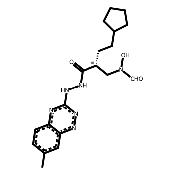 Cc1ccc2nc(NNC(=O)[C@H](CCC3CCCC3)CN(O)C=O)nnc2c1